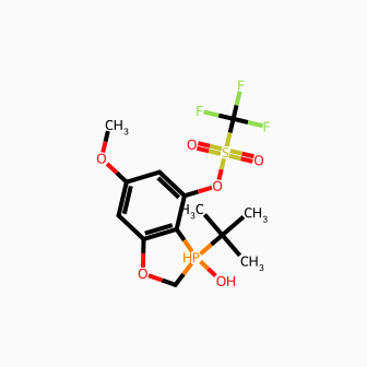 COc1cc2c(c(OS(=O)(=O)C(F)(F)F)c1)[PH](O)(C(C)(C)C)CO2